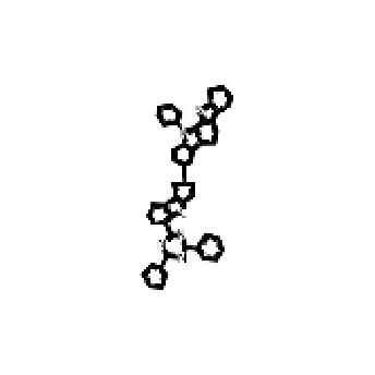 c1ccc(-c2nc(-c3ccccc3)nc(-c3cccc4c3oc3ccc(-c5ccc6c(c5)c5ccc7c8ccccc8sc7c5n6-c5ccccc5)cc34)n2)cc1